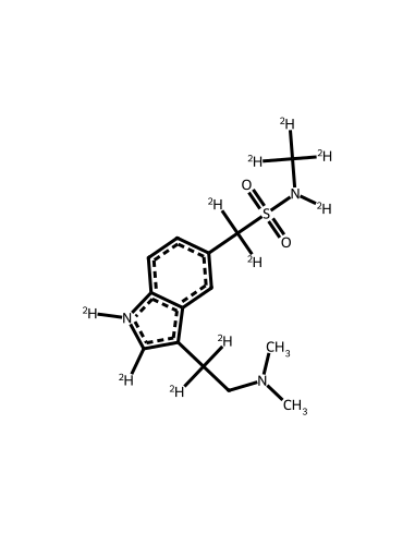 [2H]c1c(C([2H])([2H])CN(C)C)c2cc(C([2H])([2H])S(=O)(=O)N([2H])C([2H])([2H])[2H])ccc2n1[2H]